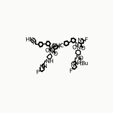 CC(C)(C)OC(=O)N(Cc1cn2cc(F)ccc2n1)[C@H]1CC[C@@H](n2c(=O)c3cc(F)cnc3n(-c3cccc(-c4ccc(C=O)cc4)c3)c2=O)CC1.O=c1c2cc(F)cnc2n(-c2cccc(-c3ccc(CN4CCNCC4)cc3)c2)c(=O)n1[C@H]1CC[C@@H](NCc2cn3cc(F)ccc3n2)CC1